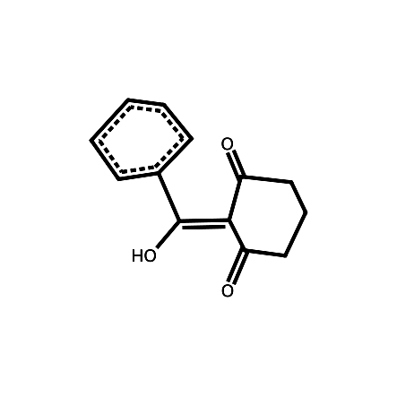 O=C1CCCC(=O)C1=C(O)c1ccccc1